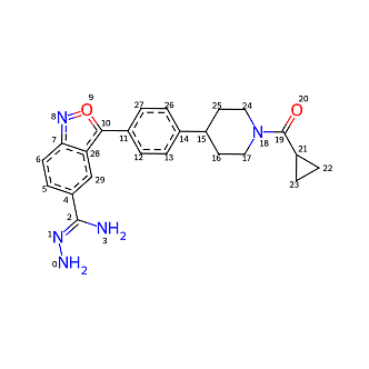 N/N=C(\N)c1ccc2noc(-c3ccc(C4CCN(C(=O)C5CC5)CC4)cc3)c2c1